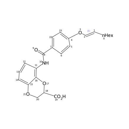 CCCCCC/C=C/Oc1ccc(C(=O)Nc2cccc3c2OC(C(=O)O)CO3)cc1